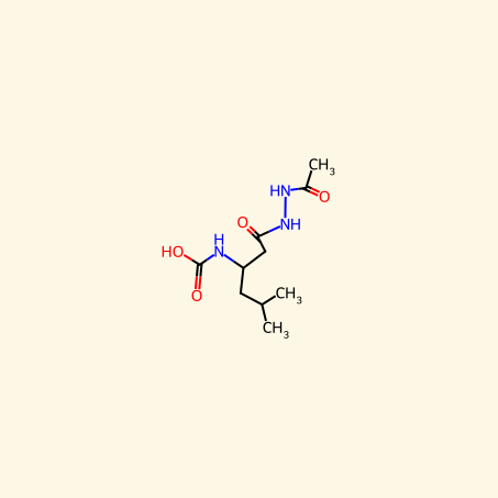 CC(=O)NNC(=O)CC(CC(C)C)NC(=O)O